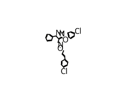 Cn1nc(-c2ccccc2)c(C=NOCC=Cc2ccc(Cl)cc2)c1Oc1ccc(Cl)cc1